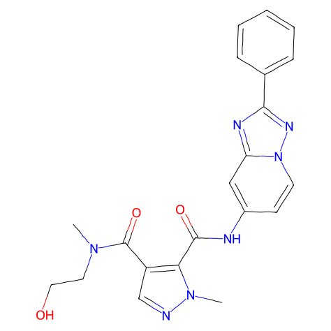 CN(CCO)C(=O)c1cnn(C)c1C(=O)Nc1ccn2nc(-c3ccccc3)nc2c1